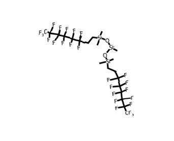 C[Si](O[Si](C)(C)CCC(F)(F)C(F)(F)C(F)(F)C(F)(F)C(F)(F)C(F)(F)F)O[Si](C)(C)CCC(F)(F)C(F)(F)C(F)(F)C(F)(F)C(F)(F)C(F)(F)F